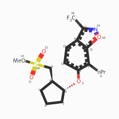 CCCc1c(O[C@@H]2CCC[C@H]2CS(=O)(=O)OC)ccc2c(C(F)(F)F)noc12